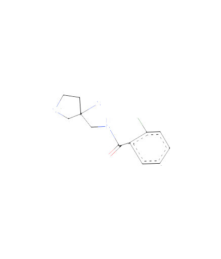 NC1(CNC(=O)c2ccccc2Cl)CCNC1